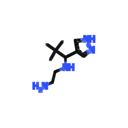 CC(C)(C)C(NCCN)c1cn[nH]c1